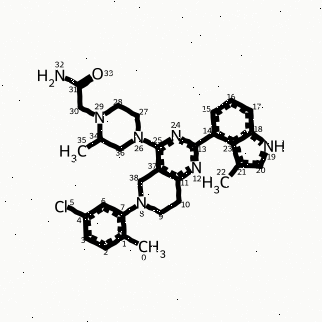 Cc1ccc(Cl)cc1N1CCc2nc(-c3cccc4[nH]cc(C)c34)nc(N3CCN(CC(N)=O)C(C)C3)c2C1